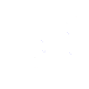 O=C(c1cccc(Cc2n[nH]c(=O)c3c2CCCC3)c1)N1CCN(c2ccccc2)CC1